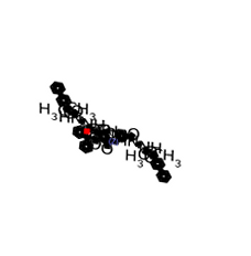 CC(C)(OC(=O)NCCNC(=O)OCC1(C)[C@H](C(=O)OC(c2ccccc2)c2ccccc2)N2C(=O)/C(=C/c3cc(C(=O)NCCNC(=O)OC(C)(C)c4ccc(-c5ccccc5)cc4)ccn3)C2S1(=O)=O)c1ccc(-c2ccccc2)cc1